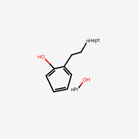 CCCCCCCCCc1ccccc1O.CCCO